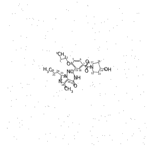 CCCOc1ccc(S(=O)(=O)N2CCC(O)CC2)cc1-c1nn2c(CCC)nc(C)c2c(=O)[nH]1